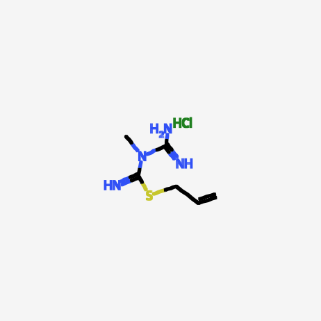 C=CCSC(=N)N(C)C(=N)N.Cl